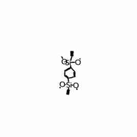 C#C[Si](OC)(OC)c1ccc([Si](C#C)(OC)OC)cc1